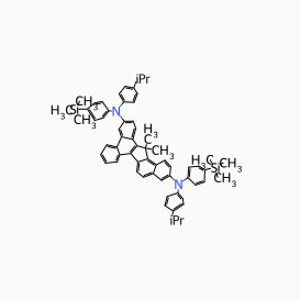 CC(C)c1ccc(N(c2ccc([Si](C)(C)C)cc2)c2ccc3c4c(ccc3c2)-c2c(c3ccc(N(c5ccc(C(C)C)cc5)c5ccc([Si](C)(C)C)cc5)cc3c3ccccc23)C4(C)C)cc1